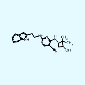 CC1(C)[C@@H](O)C[C@H]1Nc1nc(NCCc2cc3ccccc3[nH]2)ncc1C#N